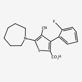 N#Cc1c(N2CCCCCC2)sc(C(=O)O)c1-c1ccccc1F